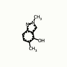 Cc1ccc2nn(C)cc2c1O